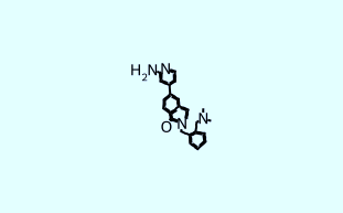 CN(C)Cc1ccccc1Cn1ccc2cc(-c3ccnc(N)c3)ccc2c1=O